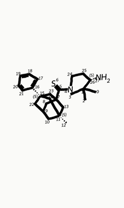 CC1(C)CN(C(=S)C23CC4C[C@](C)(C2)C[C@@](c2ccccc2)(C4)C3)CC[C@@H]1N